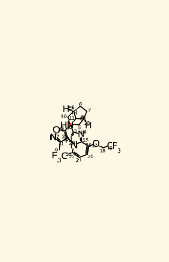 Cc1cc(N2C[C@H]3CC[C@@H](C2)C3Nc2nc3c(OCC(F)(F)F)ccc(C(F)(F)F)n3n2)on1